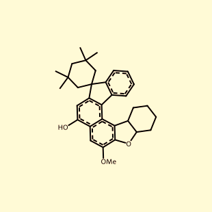 COc1cc2c(O)cc3c(c2c2c1OC1CCCCC21)-c1ccccc1C31CC(C)(C)CC(C)(C)C1